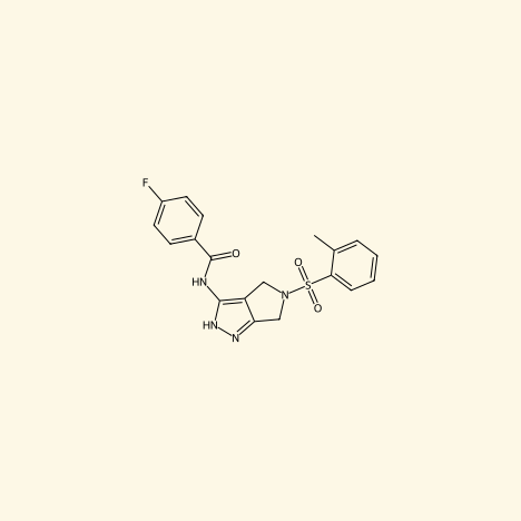 Cc1ccccc1S(=O)(=O)N1Cc2n[nH]c(NC(=O)c3ccc(F)cc3)c2C1